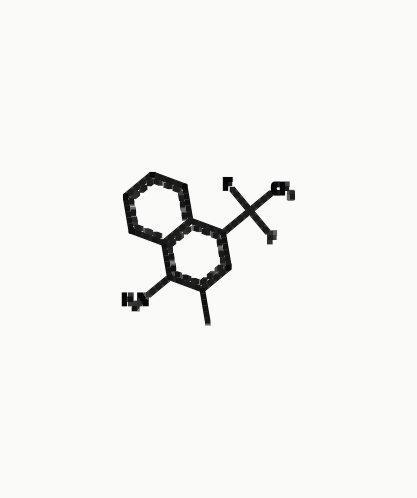 Cc1cc(C(F)(F)C(F)(F)F)c2ccccc2c1N